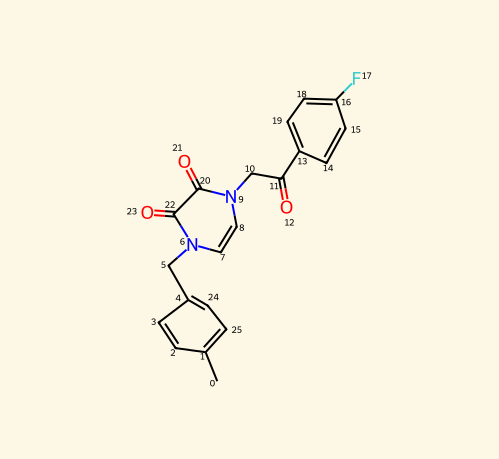 Cc1ccc(Cn2ccn(CC(=O)c3ccc(F)cc3)c(=O)c2=O)cc1